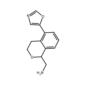 NCC1OCCc2c(-c3cnco3)cccc21